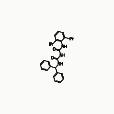 CC(C)c1cccc(C(C)C)c1NC(=O)NC(=O)NC(c1ccccc1)c1ccccc1